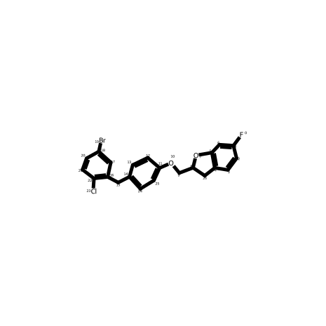 Fc1ccc2c(c1)OC(COc1ccc(Cc3cc(Br)ccc3Cl)cc1)C2